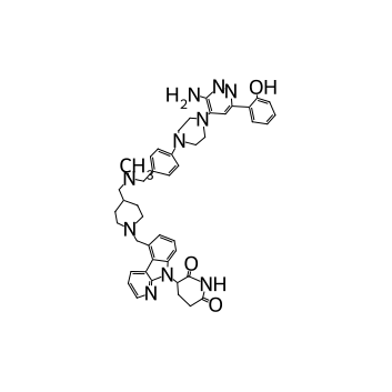 CN(Cc1ccc(N2CCN(c3cc(-c4ccccc4O)nnc3N)CC2)cc1)CC1CCN(Cc2cccc3c2c2cccnc2n3C2CCC(=O)NC2=O)CC1